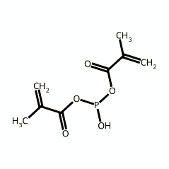 C=C(C)C(=O)OP(O)OC(=O)C(=C)C